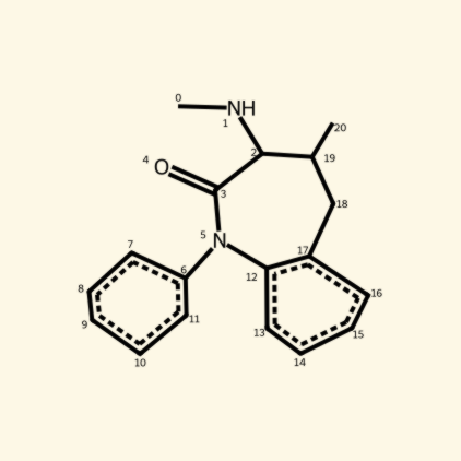 CNC1C(=O)N(c2ccccc2)c2ccccc2CC1C